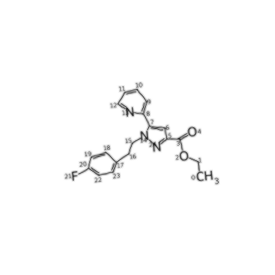 CCOC(=O)c1cc(-c2ccccn2)n(CCc2ccc(F)cc2)n1